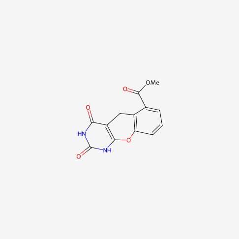 COC(=O)c1cccc2c1Cc1c([nH]c(=O)[nH]c1=O)O2